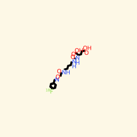 O=C(O)CCC(NC(=O)NCCCCCNC(=O)CO/N=C/c1ccc([18F])cc1)C(=O)O